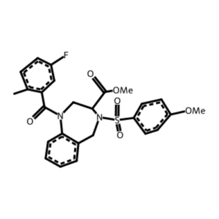 COC(=O)C1CN(C(=O)c2cc(F)ccc2C)c2ccccc2CN1S(=O)(=O)c1ccc(OC)cc1